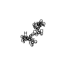 C=CC(=O)N[C@H]1COC[C@H]1Nc1ncc2cc(-c3c(F)c(OC)cc(OC)c3F)nc(N3CCC(OCCOc4cc(OC)c(Cl)c(-c5cc6cnc(N[C@@H]7COC[C@@H]7NC(=O)C=C)nc6c(N6CCC(C)(OC)C6)n5)c4Cl)C3)c2n1